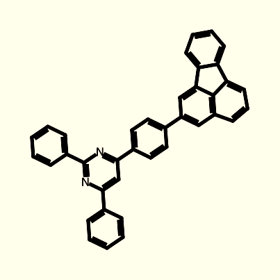 c1ccc(-c2cc(-c3ccc(-c4cc5c6c(cccc6c4)-c4ccccc4-5)cc3)nc(-c3ccccc3)n2)cc1